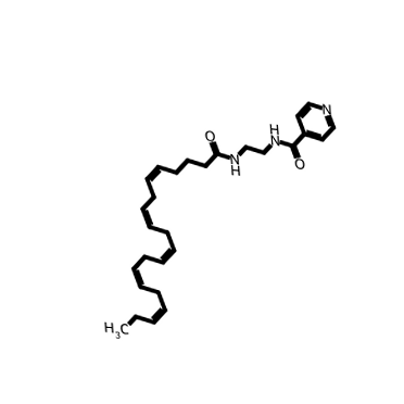 CC/C=C\C/C=C\C/C=C\C/C=C\C/C=C\CCCC(=O)NCCNC(=O)c1ccncc1